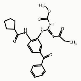 CCC(=O)N=C(NC(=O)OC)Nc1cc(C(=O)c2ccccc2)ccc1NC(=O)C1CCCC1